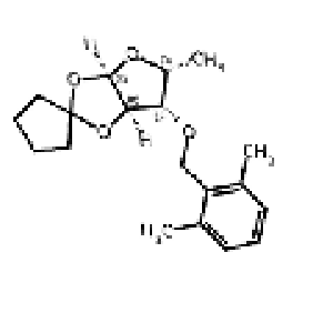 Cc1cccc(C)c1CO[C@@H]1[C@H]2OC3(CCCC3)O[C@H]2O[C@@H]1C